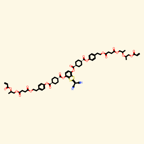 C=CC(=O)OCC(C)OC(C)COC(=O)CCC(=O)OCCc1ccc(OC(=O)[C@H]2CC[C@H](C(=O)Oc3ccc(OC(=O)[C@H]4CC[C@H](C(=O)Oc5ccc(CCOC(=O)CCC(=O)OCC(C)OC(=O)C=C)cc5)CC4)c4c3SC(=C(C#N)C#N)S4)CC2)cc1